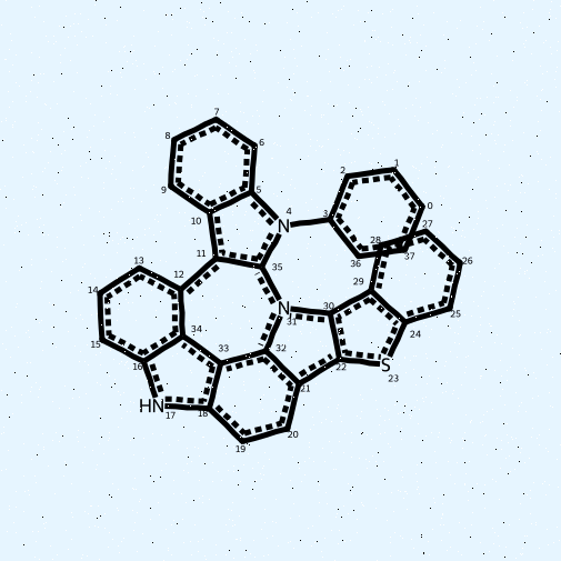 c1ccc(-n2c3ccccc3c3c4cccc5[nH]c6ccc7c8sc9ccccc9c8n(c7c6c54)c32)cc1